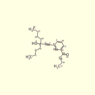 CCCCC(O)(C#Cc1cccc(C(=O)OCC)n1)CCCC